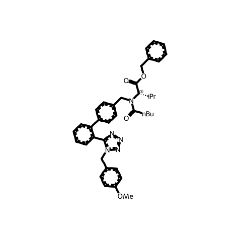 CCCCC(=O)N(Cc1ccc(-c2ccccc2-c2nnnn2Cc2ccc(OC)cc2)cc1)[C@H](C(=O)OCc1ccccc1)C(C)C